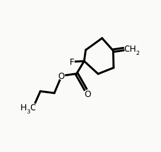 C=C1CCC(F)(C(=O)OCCC)CC1